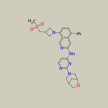 CC(C)c1ccc(N2CC(CS(C)(=O)=O)C2)c2cnc(Nc3ccnc(N4CC5COC(C5)C4)n3)cc12